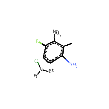 C[CH2][Al]([Cl])[CH2]C.Cc1c(N)ccc(F)c1[N+](=O)[O-]